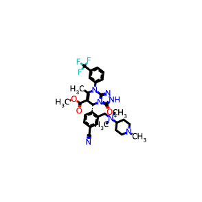 COC(=O)C1=C(C)N(c2cccc(C(F)(F)F)c2)c2n[nH]c(=O)n2[C@@H]1c1ccc(C#N)cc1C[N+](C)(C)C1CCN(C)CC1